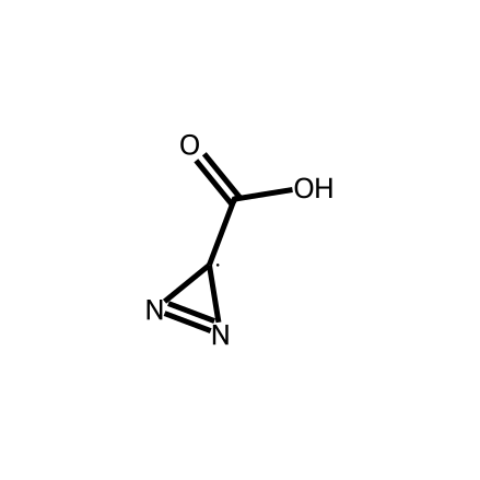 O=C(O)[C]1N=N1